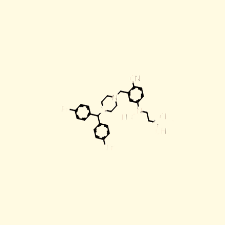 CC(C)c1ccc(C(c2ccc(C(C)C)cc2)N2CCN(Cc3cc(N(C)CCN(C)C)ccc3C#N)CC2)cc1